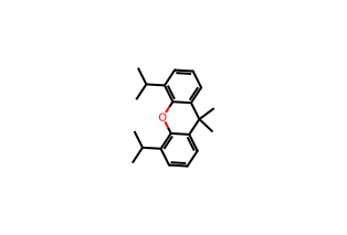 CC(C)c1cccc2c1Oc1c(C(C)C)cccc1C2(C)C